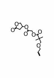 C=CCOCC(C)(C)C(=O)OCC(=O)OC1COC(=O)C1